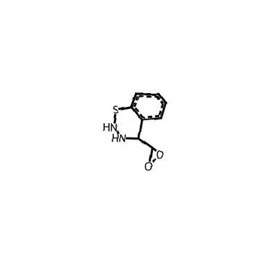 c1ccc2c(c1)SNNC2C1OO1